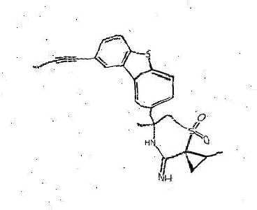 CC#Cc1ccc2sc3ccc([C@]4(C)CS(=O)(=O)[C@@]5(CC5C)C(=N)N4)cc3c2c1